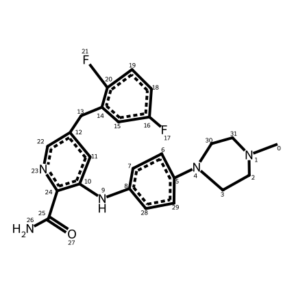 CN1CCN(c2ccc(Nc3cc(Cc4cc(F)ccc4F)cnc3C(N)=O)cc2)CC1